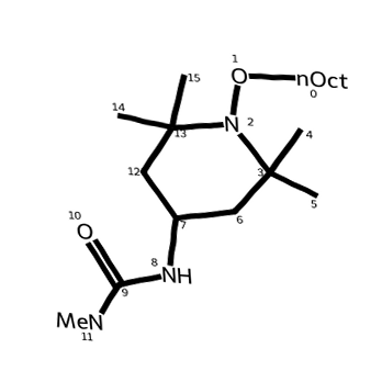 CCCCCCCCON1C(C)(C)CC(NC(=O)NC)CC1(C)C